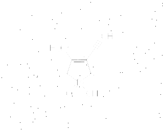 C#CC1=C(C)CP(C)(=O)C1